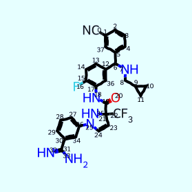 N#Cc1cccc(C(NCC2CC2)c2ccc(F)c(NC(=O)C3(C(F)(F)F)C=CN(c4cccc(C(=N)N)c4)N3)c2)c1